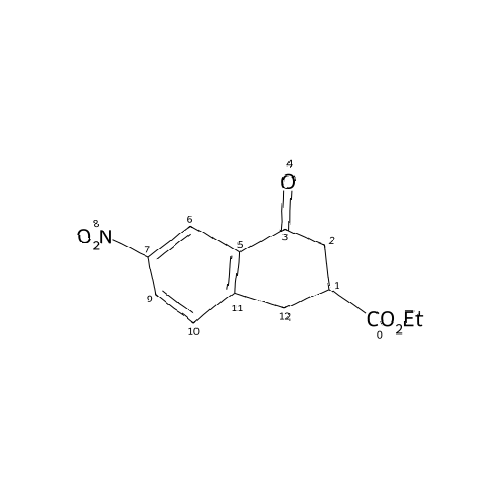 CCOC(=O)C1CC(=O)c2cc([N+](=O)[O-])ccc2C1